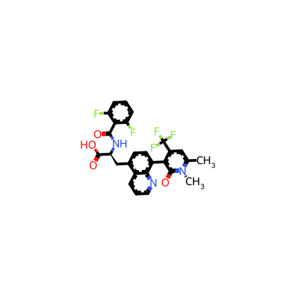 Cc1cc(C(F)(F)F)c(-c2ccc(C[C@H](NC(=O)c3c(F)cccc3F)C(=O)O)c3cccnc23)c(=O)n1C